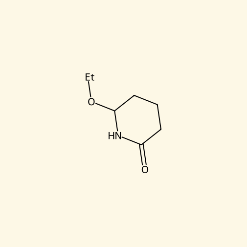 CCOC1CCCC(=O)N1